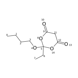 CCCCOC1(CC)OC(=O)CC(=O)O1